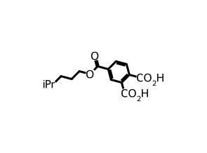 CC(C)CCCOC(=O)c1ccc(C(=O)O)c(C(=O)O)c1